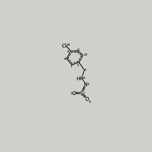 O=S(=O)=NNCc1ccc(Cl)cc1